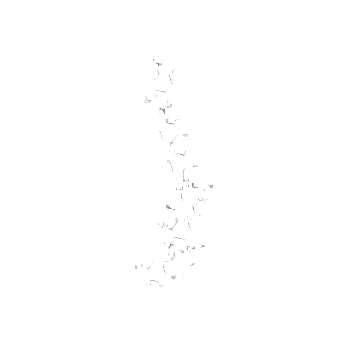 Cc1cc(N=Nc2ccc(-c3ccc(NN=C4C(=O)c5c(cc(S(=O)(=O)O)c(N=Nc6cc(Cl)ccc6Cl)c5N)C=C4S(=O)(=O)O)cc3)cc2)c(N)cc1N